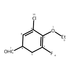 CCOC1=C(F)CC(C=O)C=C1Cl